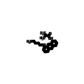 C=C(C)C(=O)O.CCCCCNc1cccc2cc3ccccc3cc12